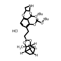 CC(C)(C)OC(=O)Oc1c(CCB2O[C@@H]3C[C@@H]4C[C@@H](C4(C)C)[C@]3(C)O2)ccc(OC2CNC2)c1C(=O)OC(C)(C)C.Cl